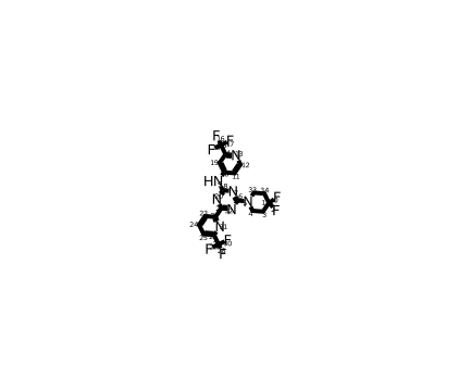 FC1(F)CCN(c2nc(Nc3ccnc(C(F)(F)F)c3)nc(-c3cccc(C(F)(F)F)n3)n2)CC1